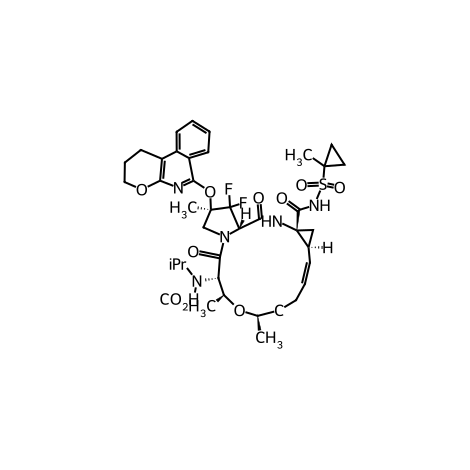 CC(C)N(C(=O)O)[C@@H]1C(=O)N2C[C@@](C)(Oc3nc4c(c5ccccc35)CCCO4)C(F)(F)[C@@H]2C(=O)N[C@]2(C(=O)NS(=O)(=O)C3(C)CC3)C[C@H]2/C=C\CC[C@@H](C)O[C@H]1C